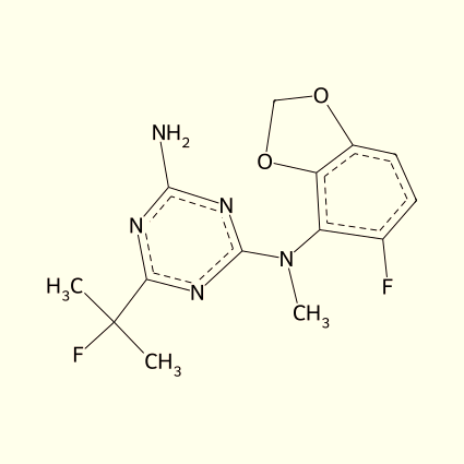 CN(c1nc(N)nc(C(C)(C)F)n1)c1c(F)ccc2c1OCO2